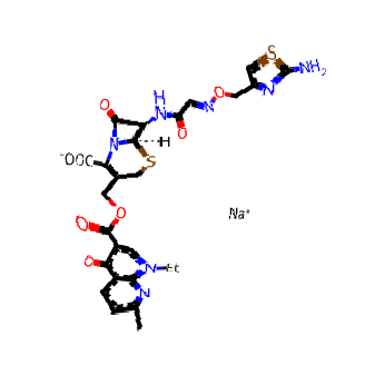 CCn1cc(C(=O)OCC2=C(C(=O)[O-])N3C(=O)[C@@H](NC(=O)C=NOCc4csc(N)n4)[C@H]3SC2)c(=O)c2ccc(C)nc21.[Na+]